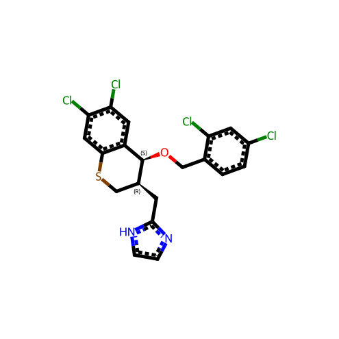 Clc1ccc(CO[C@@H]2c3cc(Cl)c(Cl)cc3SC[C@@H]2Cc2ncc[nH]2)c(Cl)c1